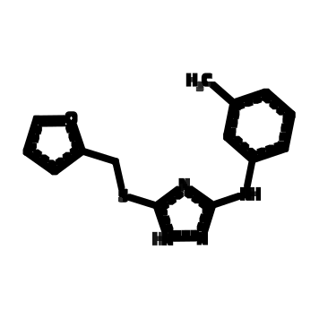 Cc1cccc(Nc2n[nH]c(SCc3ccco3)n2)c1